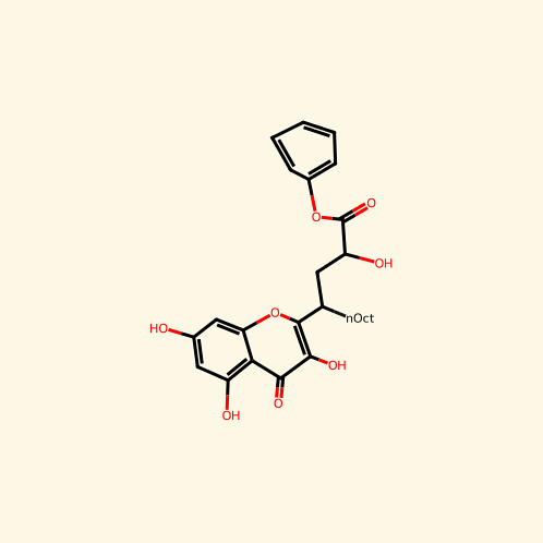 CCCCCCCCC(CC(O)C(=O)Oc1ccccc1)c1oc2cc(O)cc(O)c2c(=O)c1O